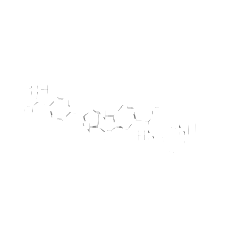 CNC(=O)c1ccc(-c2cn3c(n2)sc2cc(C(=O)N[C@H]4CCCNC4)ccc23)cc1